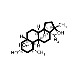 C[C@@H]1C[C@H](O)C[C@@H]2CC[C@@H]3[C@H](CC[C@@]4(C)[C@H]3CC[C@]4(C)O)[C@]21CO